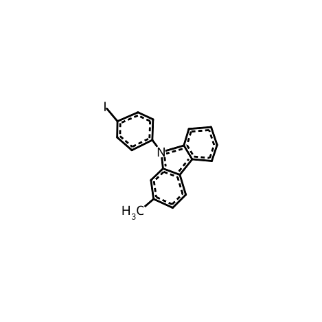 Cc1ccc2c3ccccc3n(-c3ccc(I)cc3)c2c1